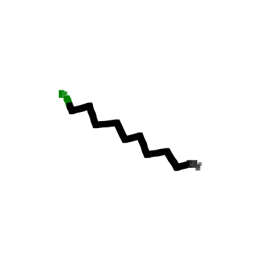 [CH2]CCCCCCCCCBr